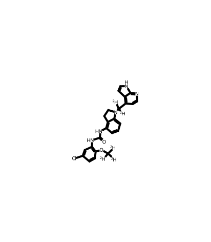 [2H]C([2H])([2H])Oc1ccc(Cl)cc1NC(=O)Nc1cccc2c1CCN2C([2H])([2H])c1ccnc2[nH]ccc12